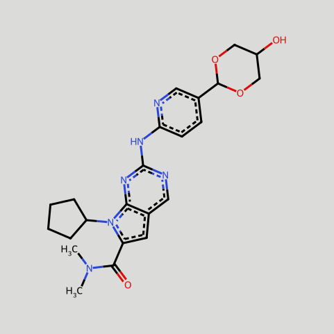 CN(C)C(=O)c1cc2cnc(Nc3ccc(C4OCC(O)CO4)cn3)nc2n1C1CCCC1